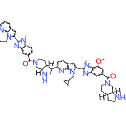 COc1cc(C(=O)N2CC[C@H]3CCN[C@H]3C2)cc2nc(-c3cc4ccc(C5CN[C@@H]6CN(C(=O)c7ccc8c(c7)nc(-c7cc9cccnc9n7CC7CC7)n8C)CC[C@H]56)nc4n3CC3CC3)n(C)c12